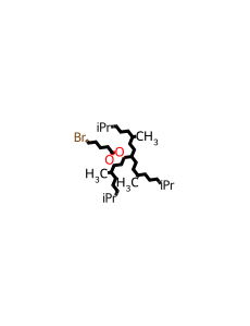 CC(C)CCCC(C)CCC(CCC(C)CCCC(C)C)C(CCC(C)CCCC(C)C)OC(=O)CCCCBr